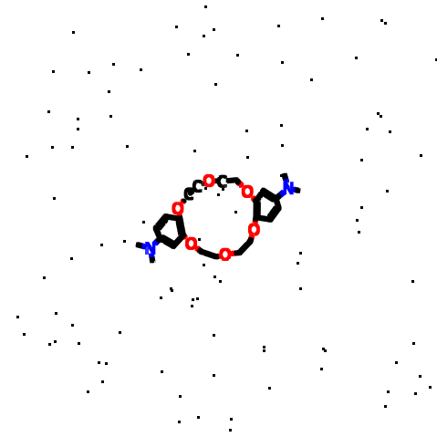 CN(C)c1ccc2c(c1)OCCOCCOc1ccc(N(C)C)cc1OCCOCCO2